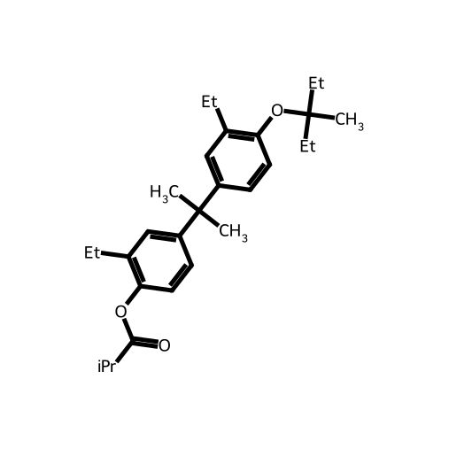 CCc1cc(C(C)(C)c2ccc(OC(C)(CC)CC)c(CC)c2)ccc1OC(=O)C(C)C